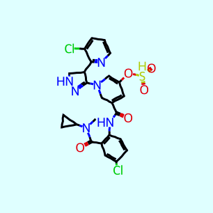 CN(C(=O)c1cc(Cl)ccc1NC(=O)C1=CC(O[SH](=O)=O)=CN(C2=NNCC2c2ncccc2Cl)C1)C1CC1